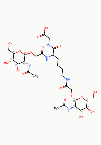 CC(=O)N[C@H]1[C@H](OCC(=O)NCCCCC(NC(=O)CO[C@@H]2O[C@H](CO)[C@@H](O)[C@H](O)[C@H]2NC(C)=O)C(=O)NCC(=O)O)O[C@H](CO)[C@@H](O)[C@@H]1O